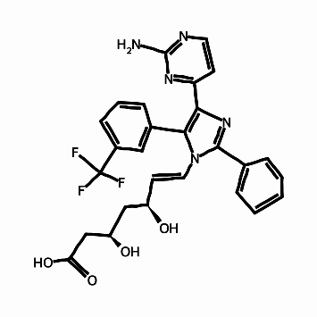 Nc1nccc(-c2nc(-c3ccccc3)n(/C=C/[C@@H](O)C[C@@H](O)CC(=O)O)c2-c2cccc(C(F)(F)F)c2)n1